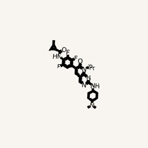 CC1CC1C(=O)Nc1c(F)cc(-c2cc3cnc(NC4CCC(N(C)C)CC4)nc3n(C(C)C)c2=O)c(F)c1F